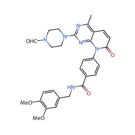 COc1ccc(CNC(=O)c2ccc(-n3c(=O)ccc4c(C)nc(N5CCN(C=O)CC5)nc43)cc2)cc1OC